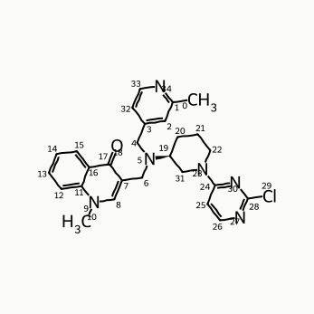 Cc1cc(CN(Cc2cn(C)c3ccccc3c2=O)[C@H]2CCCN(c3ccnc(Cl)n3)C2)ccn1